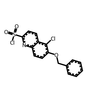 O=S(=O)(Cl)c1ccc2c(Cl)c(OCc3ccccc3)ccc2n1